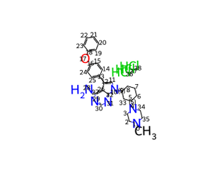 CN1CCN([C@H]2CCC[C@H](n3cc(-c4ccc(Oc5ccccc5)cc4)c4c(N)ncnc43)C2)CC1.Cl.Cl.Cl